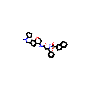 CN(Cc1ccc2c(c1)OCCC2NC(=O)CC(NS(=O)(=O)c1ccc2ccccc2c1)c1ccccc1)C1CCCC1